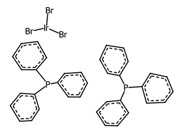 [Br][Ir]([Br])[Br].c1ccc(P(c2ccccc2)c2ccccc2)cc1.c1ccc(P(c2ccccc2)c2ccccc2)cc1